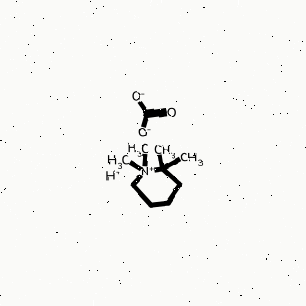 CC1(C)CCCC[N+]1(C)C.O=C([O-])[O-].[H+]